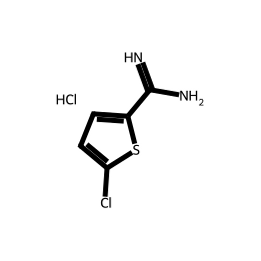 Cl.N=C(N)c1ccc(Cl)s1